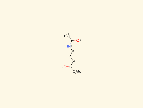 COC(=O)CCCNC(=O)C(C)(C)C